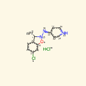 CCCC1c2ccc(Cl)cc2ON1N=c1cc[nH]cc1.Cl